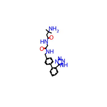 CC(C)(N)CC(=O)NCC(=O)NCc1ccc(-c2ccccc2-c2nnn[nH]2)cc1